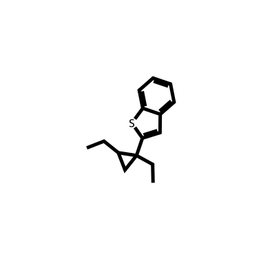 CCC1CC1(CC)c1cc2ccccc2s1